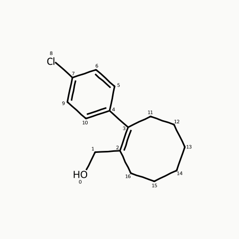 OCC1=C(c2ccc(Cl)cc2)CCCCCC1